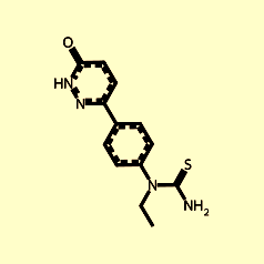 CCN(C(N)=S)c1ccc(-c2ccc(=O)[nH]n2)cc1